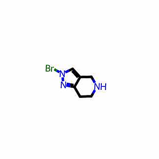 Brn1cc2c(n1)CCNC2